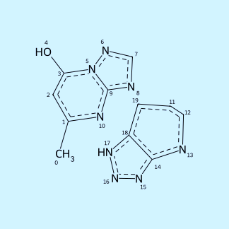 Cc1cc(O)n2ncnc2n1.c1cnc2nn[nH]c2c1